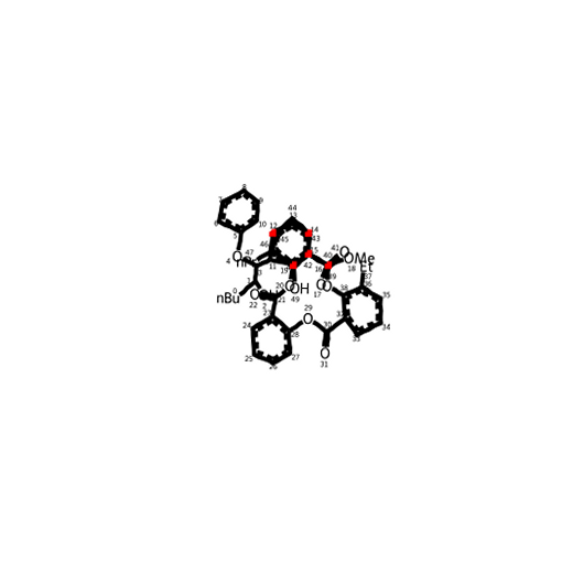 CCCCC(O)C(Oc1ccccc1)c1cccc(C(=O)OC)c1OC(=O)c1ccccc1OC(=O)c1cccc(CC)c1OC(=O)c1cccc(CCC)c1O